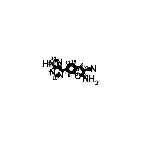 N#CC(=Cc1ccc(-c2ncnc3[nH]cnc23)cc1)C(N)=O